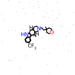 C[C@H]1c2c([nH]c3ccc(C(F)(F)F)cc23)C[C@H]2CCN(CCC3(C)CCOCC3)C[C@@H]21